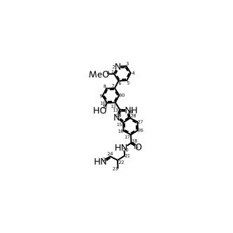 COc1ncccc1-c1ccc(O)c(-c2nc3cc(C(=O)NCC(C)C=N)ccc3[nH]2)c1